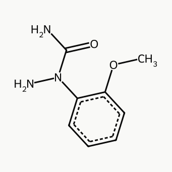 COc1ccccc1N(N)C(N)=O